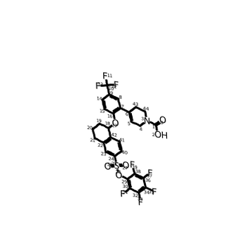 O=C(O)N1CC=C(c2cc(C(F)(F)F)ccc2OC2CCCc3cc(S(=O)(=O)Oc4c(F)c(F)c(F)c(F)c4F)ccc32)CC1